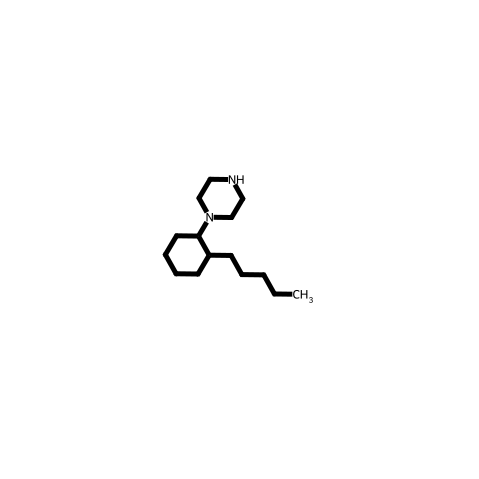 CCCCCC1CCCC[C]1N1CCNCC1